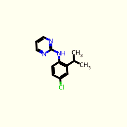 CC(C)c1cc(Cl)ccc1Nc1ncccn1